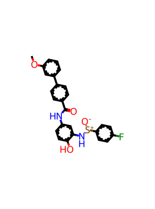 COc1cccc(-c2ccc(C(=O)Nc3ccc(O)c(N[S+]([O-])c4ccc(F)cc4)c3)cc2)c1